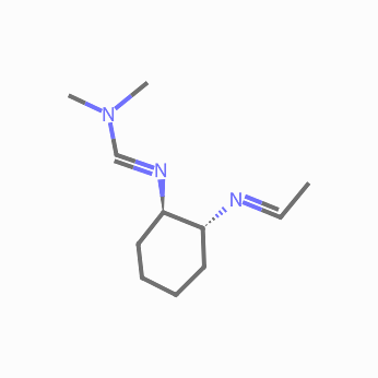 C/C=N/[C@@H]1CCCC[C@H]1/N=C/N(C)C